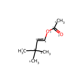 CC(=O)OC=CC(C)(C)C